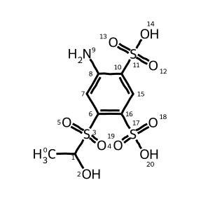 CC(O)S(=O)(=O)c1cc(N)c(S(=O)(=O)O)cc1S(=O)(=O)O